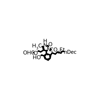 CCCCCCCCCCCCCCCc1cccc(CO)c1C1C(CCOC=O)=C(C)NC(=O)N1C(=O)OCC